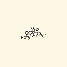 CCN(CC)c1ccc2c(c1)Oc1cc(N(CC)CC)ccc1C21c2ccccc2C(=O)N1/N=C/c1cccc(CO)n1